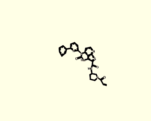 C=CC(=O)N1CCCC(NC(=O)c2sc3nccc4c3c2NC(=O)N4c2cccc(-c3ccccc3)n2)C1